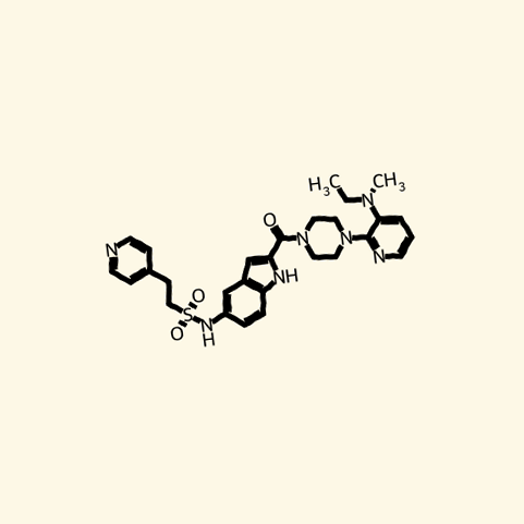 CCN(C)c1cccnc1N1CCN(C(=O)c2cc3cc(NS(=O)(=O)CCc4ccncc4)ccc3[nH]2)CC1